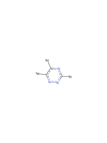 [2H]c1nnc([2H])c([2H])n1